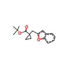 CC(C)(C)OC(=O)C1(Cc2cc3ccccc3o2)CC1